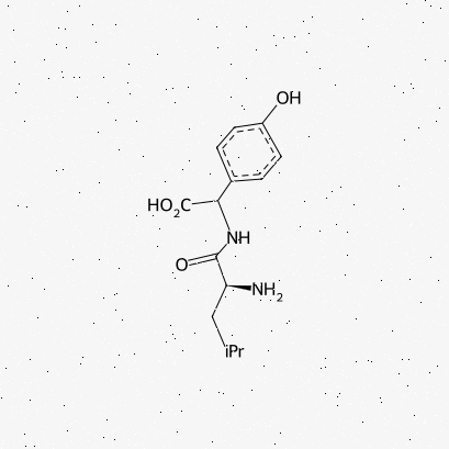 CC(C)C[C@H](N)C(=O)NC(C(=O)O)c1ccc(O)cc1